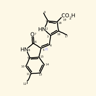 Cc1[nH]c(/C=C2\C(=O)Nc3cc(I)ccc32)c(C)c1C(=O)O